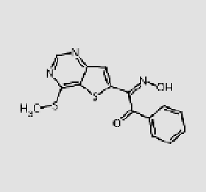 CSc1ncnc2cc(/C(=N/O)C(=O)c3ccccc3)sc12